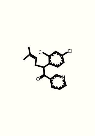 CC(C)=CCC(C(=O)c1cccnc1)c1ccc(Cl)cc1Cl